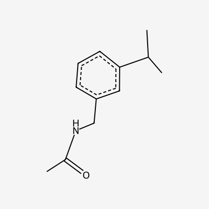 CC(=O)NCc1cccc(C(C)C)c1